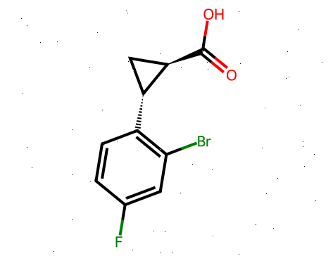 O=C(O)[C@@H]1C[C@H]1c1ccc(F)cc1Br